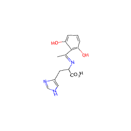 CC(=NC(Cc1c[nH]cn1)C(=O)O)c1c(O)cccc1O